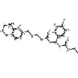 CCOC(=O)CC(CC(=O)CCCCc1ccc2c(n1)NCCC2)c1cnc(C)nc1